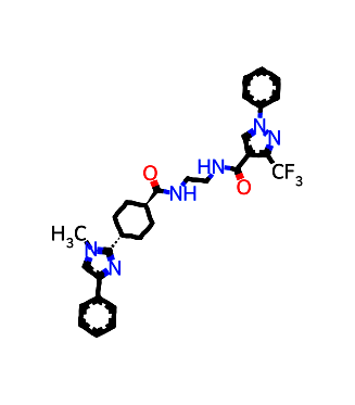 Cn1cc(-c2ccccc2)nc1[C@H]1CC[C@H](C(=O)NCCNC(=O)c2cn(-c3ccccc3)nc2C(F)(F)F)CC1